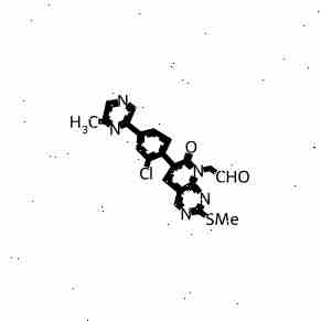 CSc1ncc2cc(-c3ccc(-c4cncc(C)n4)cc3Cl)c(=O)n(CC=O)c2n1